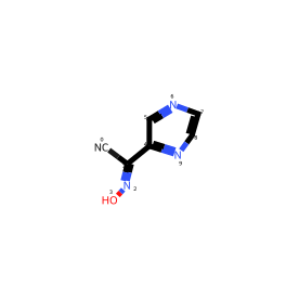 N#CC(=NO)c1cnccn1